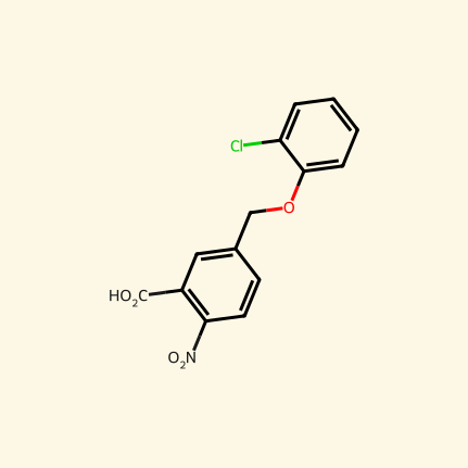 O=C(O)c1cc(COc2ccccc2Cl)ccc1[N+](=O)[O-]